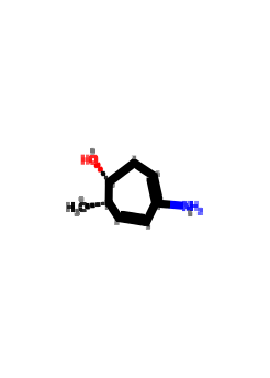 C[C@H]1C=CC(N)=CC[C@H]1O